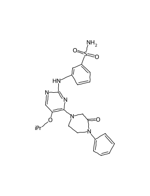 CC(C)Oc1cnc(Nc2cccc(S(N)(=O)=O)c2)nc1N1CCN(c2ccccc2)C(=O)C1